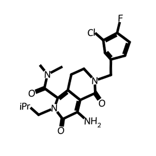 CC(C)Cn1c(C(=O)N(C)C)c2c(c(N)c1=O)C(=O)N(Cc1ccc(F)c(Cl)c1)CC2